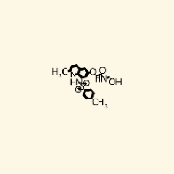 Cc1ccc(S(=O)(=O)Nc2cc(OCC(=O)NCO)cc3ccc(C)nc23)cc1